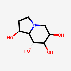 OC1[C@H](O)C2[C@@H](O)CCN2C[C@H]1O